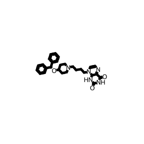 O=C1NC(=O)C2=NC=CN(CCCCN3CCC(OC(c4ccccc4)c4ccccc4)CC3)C2N1